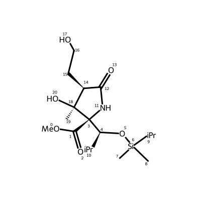 COC(=O)[C@]1([C@@H](O[Si](C)(C)C(C)C)C(C)C)NC(=O)[C@H](CCO)[C@]1(C)O